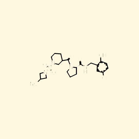 Cc1ccc(Cl)cc1CNC(=O)[C@H]1CCCN1C(=O)C1CCCN(S(=O)(=O)N2CC(C#N)C2)C1